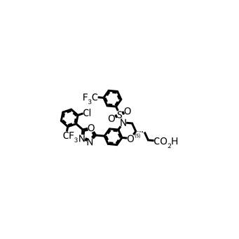 O=C(O)CC[C@H]1CN(S(=O)(=O)c2cccc(C(F)(F)F)c2)c2cc(-c3nnc(-c4c(Cl)cccc4C(F)(F)F)o3)ccc2O1